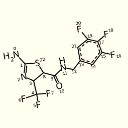 NC1=NC(C(F)(F)F)C(C(=O)NCc2cc(F)c(F)c(F)c2)S1